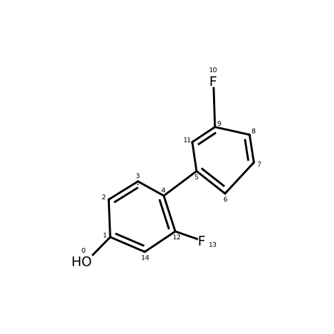 Oc1c[c]c(-c2cccc(F)c2)c(F)c1